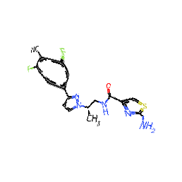 C[C@H](CNC(=O)c1csc(N)n1)n1ccc(-c2cc(F)c(C#N)c(F)c2)n1